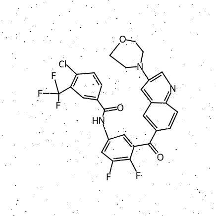 O=C(Nc1cc(F)c(F)c(C(=O)c2ccc3ncc(N4CCOCC4)cc3c2)c1)c1ccc(Cl)c(C(F)(F)F)c1